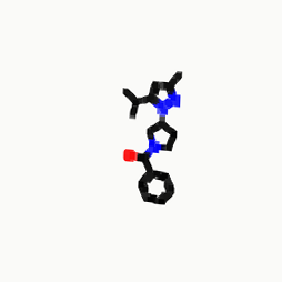 Cc1cc(C(C)C)n(C2CCN(C(=O)c3ccccc3)C2)n1